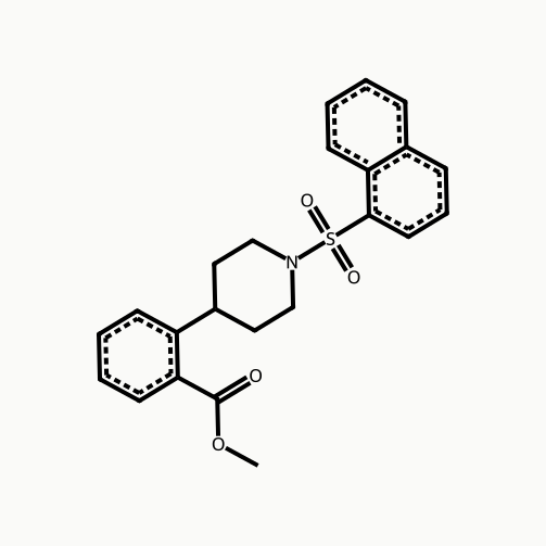 COC(=O)c1ccccc1C1CCN(S(=O)(=O)c2cccc3ccccc23)CC1